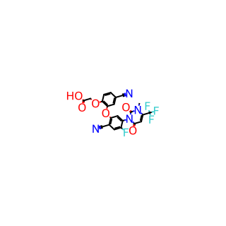 Cn1c(C(F)(F)F)cc(=O)n(-c2cc(Oc3cc(C#N)ccc3OCC(=O)O)c(C#N)cc2F)c1=O